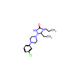 CCCN1C(=O)NN(N2CCN(c3cccc(Cl)c3)CC2)C1CC